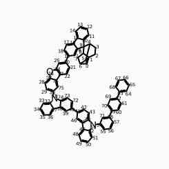 C1=C2CCC3CC1CC2C31c2ccccc2-c2ccc(-c3ccc4c(c3)oc3ccc(-n5c6ccccc6c6cc(-c7ccc8c(c7)c7ccccc7n8-c7cccc(-c8ccc(-c9ccccc9)cc8)c7)ccc65)cc34)cc21